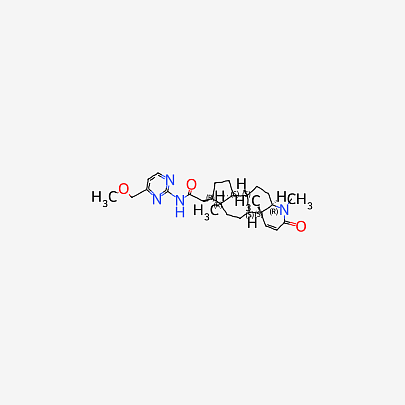 COCc1ccnc(NC(=O)C[C@H]2CC[C@H]3[C@@H]4CC[C@H]5N(C)C(=O)C=C[C@]5(C)[C@H]4CC[C@]23C)n1